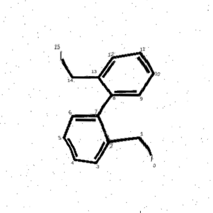 ICc1ccccc1-c1ccccc1CI